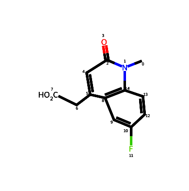 Cn1c(=O)cc(CC(=O)O)c2cc(F)ccc21